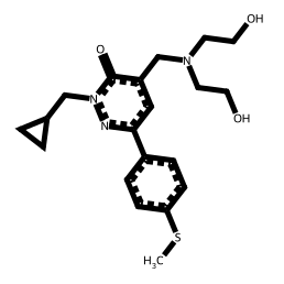 CSc1ccc(-c2cc(CN(CCO)CCO)c(=O)n(CC3CC3)n2)cc1